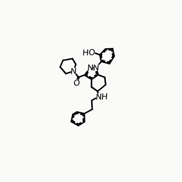 O=C(c1nn(-c2ccccc2O)c2c1CC(NCCc1ccccc1)CC2)N1CCCCC1